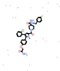 Cn1c(C(=O)N2CCC(NCc3ccc(F)cc3)(C(N)=O)CC2)cc(-c2ccccc2Cl)c1-c1ccc(OCC(N)=O)cc1